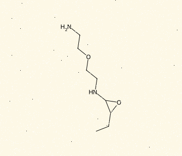 CCC1OC1NCCOCCN